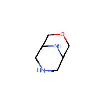 C1NCC2COCC1N2